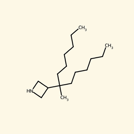 CCCCCCC(C)(CCCCCC)C1CNC1